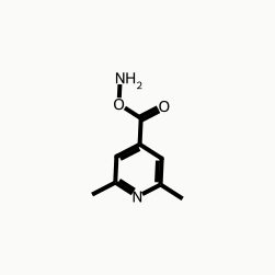 Cc1cc(C(=O)ON)cc(C)n1